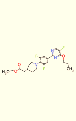 CCCOc1nc(-c2cc(F)c(N3CCC(CC(=O)OCC)CC3)c(F)c2)ncc1F